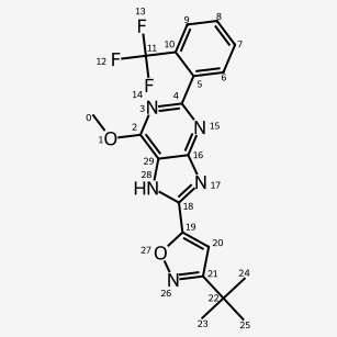 COc1nc(-c2ccccc2C(F)(F)F)nc2nc(-c3cc(C(C)(C)C)no3)[nH]c12